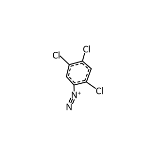 N#[N+]c1cc(Cl)c(Cl)cc1Cl